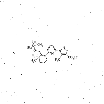 CCOC(=O)c1cnn(-c2cccc(C3=C(CO[Si](C)(C)C(C)(C)C)C(C)(C)CCC3)n2)c1C(F)(F)F